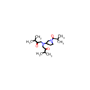 CC(C)C(=O)CN(CC(=O)C(C)C)C1CCN(C(=O)C(C)C)C1